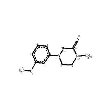 COc1cccc(N2CCN(C)C(=S)N2)c1